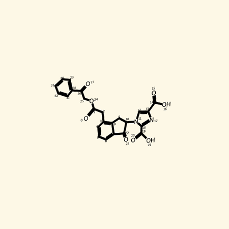 O=C(Cc1cccc2c1CC(n1cc(C(=O)O)nc1C(=O)O)C2=O)OCC(=O)c1ccccc1